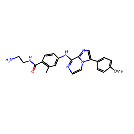 COc1ccc(-c2cnc3c(Nc4ccc(C(=O)NCCN)c(C)c4)nccn23)cc1